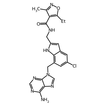 CCc1onc(C)c1C(=O)NCc1cc2cc(Cl)cc(Cn3cnc4c(N)ncnc43)c2[nH]1